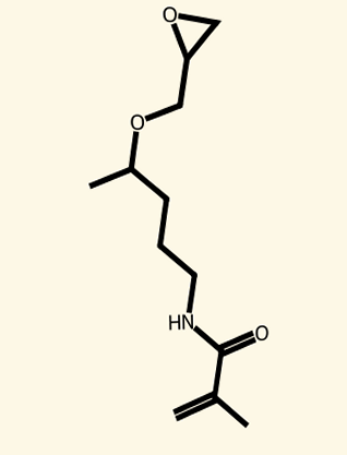 C=C(C)C(=O)NCCCC(C)OCC1CO1